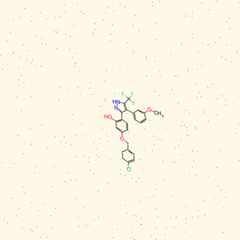 COc1cccc(-c2c(-c3ccc(OCC4=CC=C(Cl)CC4)cc3O)n[nH]c2C(F)(F)F)c1